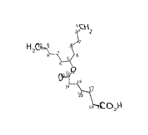 C=CCCCC(CCCC=C)OC(=O)CCCCCC(=O)O